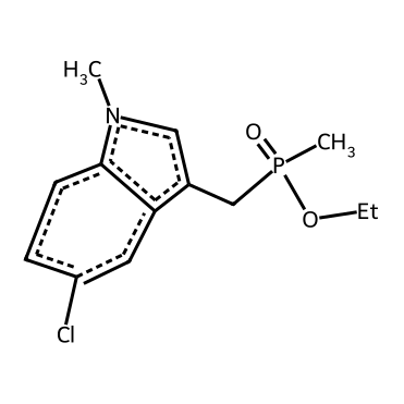 CCOP(C)(=O)Cc1cn(C)c2ccc(Cl)cc12